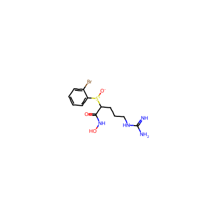 N=C(N)NCCCC(C(=O)NO)[S+]([O-])c1ccccc1Br